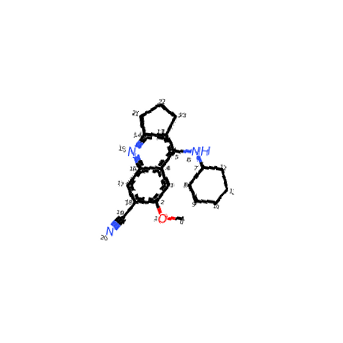 COc1cc2c(NC3CCCCC3)c3c(nc2cc1C#N)CCC3